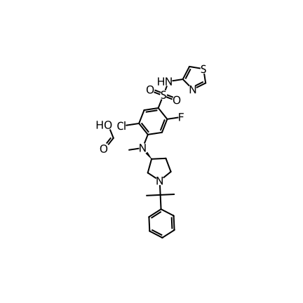 CN(c1cc(F)c(S(=O)(=O)Nc2cscn2)cc1Cl)[C@H]1CCN(C(C)(C)c2ccccc2)C1.O=CO